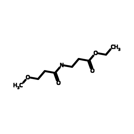 CCOC(=O)CC[N]C(=O)CCOC